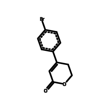 O=C1C=C(c2ccc(Br)cc2)CCO1